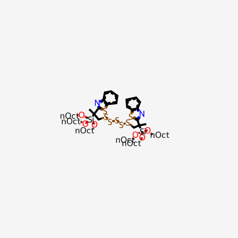 CCCCCCCCO[Si](OCCCCCCCC)(OCCCCCCCC)C(C)(CSSSSSCC(C)(c1nc2ccccc2s1)[Si](OCCCCCCCC)(OCCCCCCCC)OCCCCCCCC)c1nc2ccccc2s1